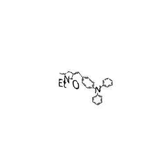 C=C1C/C(=C/c2ccc(N(c3ccccc3)c3ccccc3)cc2)C(=O)N1CC